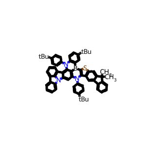 CC(C)(C)c1ccc(N2c3cc4c(c5c3B(c3cc(C(C)(C)C)ccc3N5c3ccc(C(C)(C)C)cc3)c3sc5cc6c(cc5c32)-c2ccccc2C6(C)C)c2cccc3c5ccccc5n4c32)cc1